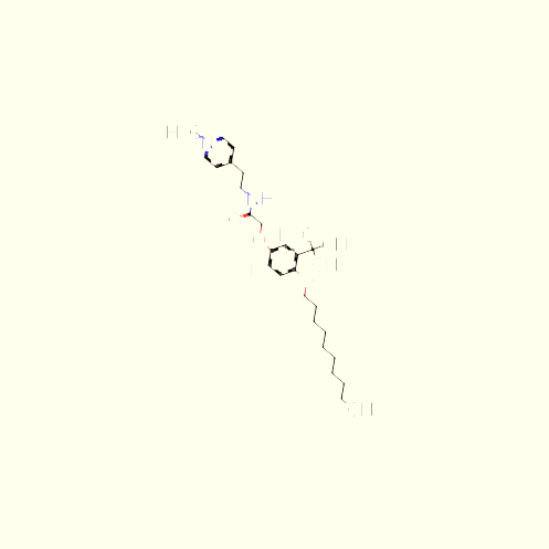 CCCCCCCCCCOc1ccc(OCC(=O)NCCc2cc[n+](C)cc2)cc1C(C)(C)C.[I-]